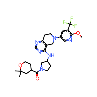 COc1ncc(N2CCc3ncnc(NC4CCN(C(=O)C5CCOC(C)(C)C5)C4)c3C2)cc1C(F)(F)F